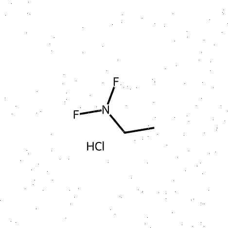 CCN(F)F.Cl